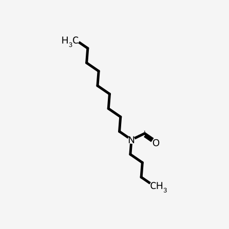 CCCCCCCCCN([C]=O)CCCC